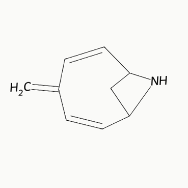 C=C1/C=C\C2CC(/C=C\1)N2